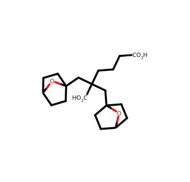 O=C(O)CCCC(CC12CCC(CC1)O2)(CC12CCC(CC1)O2)C(=O)O